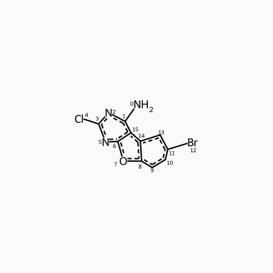 Nc1nc(Cl)nc2oc3ccc(Br)cc3c12